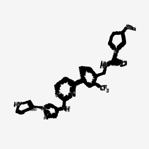 CC(C)(C)C1CCN(C(=O)NCc2ccc(-c3ccnc(Nc4cnn([C@H]5CCNC5)c4)n3)cc2C(F)(F)F)C1